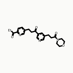 CCC(=O)c1ccc(CCC(=O)c2cncc(CCC(=O)N3CCOCC3)c2)cn1